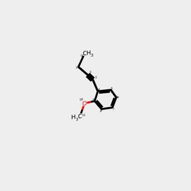 CCC#Cc1ccccc1OC